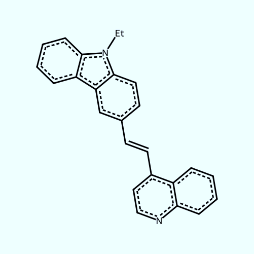 CCn1c2ccccc2c2cc(/C=C/c3ccnc4ccccc34)ccc21